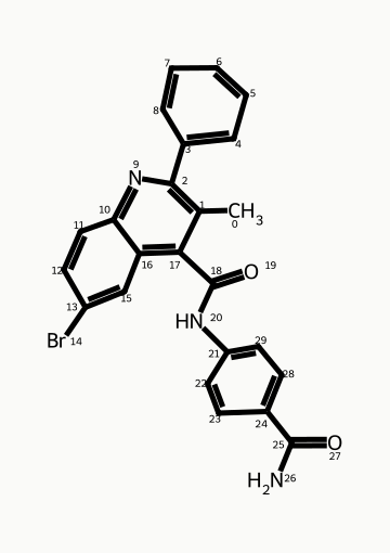 Cc1c(-c2ccccc2)nc2ccc(Br)cc2c1C(=O)Nc1ccc(C(N)=O)cc1